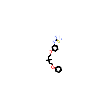 CC(C)(CCOc1ccccc1)CCOc1cccc(NC(N)=S)c1